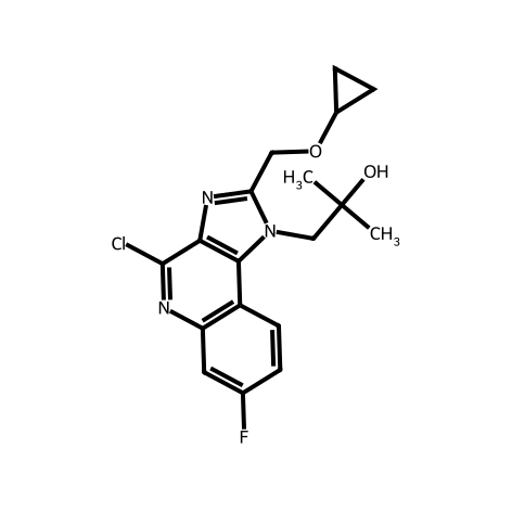 CC(C)(O)Cn1c(COC2CC2)nc2c(Cl)nc3cc(F)ccc3c21